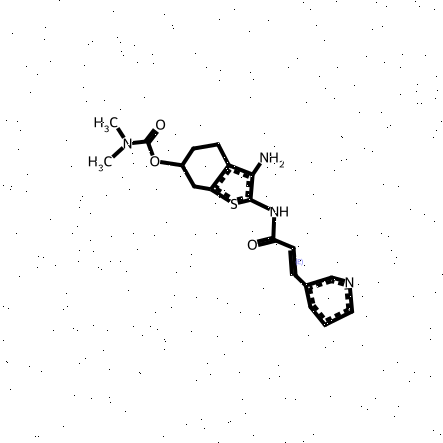 CN(C)C(=O)OC1CCc2c(sc(NC(=O)/C=C/c3cccnc3)c2N)C1